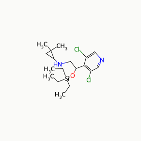 CC[Si](CC)(CC)OC(CNC1CC1(C)C)c1c(Cl)cncc1Cl